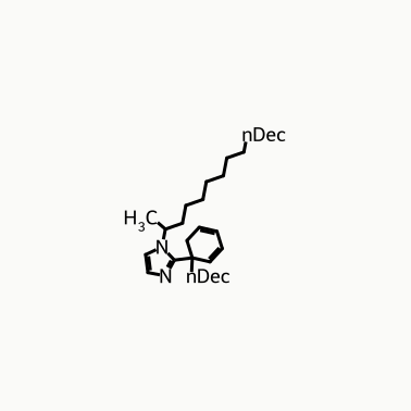 CCCCCCCCCCCCCCCCCC(C)n1ccnc1C1(CCCCCCCCCC)C=CC=CC1